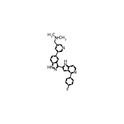 CN(C)Cc1cncc(-c2ccc3[nH]nc(-c4cc5c(-c6ccc(F)cc6)nccc5[nH]4)c3c2)c1